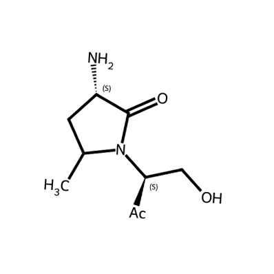 CC(=O)[C@H](CO)N1C(=O)[C@@H](N)CC1C